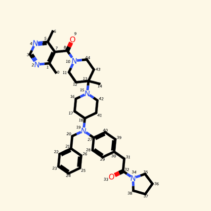 Cc1ncnc(C)c1C(=O)N1CCC(C)(N2CCC(N(Cc3ccccc3)c3ccc(CC(=O)N4CCCC4)cc3)CC2)CC1